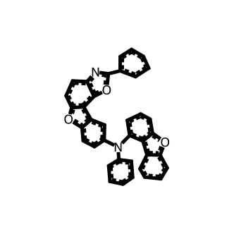 c1ccc(-c2nc3ccc4oc5ccc(N(c6ccccc6)c6cccc7oc8ccccc8c67)cc5c4c3o2)cc1